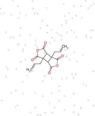 C=CCC12C(=O)OC(=O)C1C1(CC=C)C(=O)OC(=O)C21